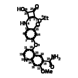 CCOC1=C(Nc2ccc(Oc3ccnc4cc(OC)c(C(N)=O)cc34)cc2Cl)C(O)C1=O